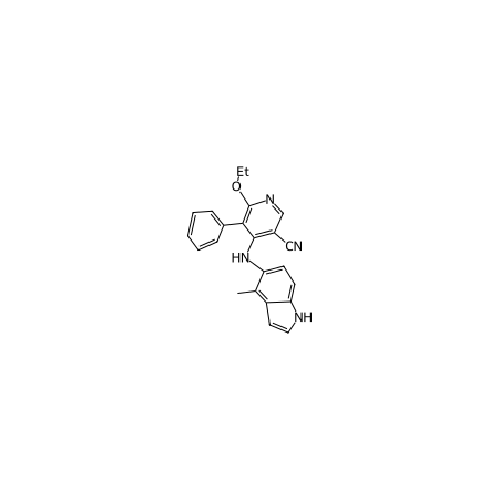 CCOc1ncc(C#N)c(Nc2ccc3[nH]ccc3c2C)c1-c1ccccc1